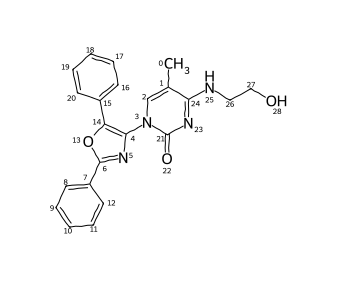 Cc1cn(-c2nc(-c3ccccc3)oc2-c2ccccc2)c(=O)nc1NCCO